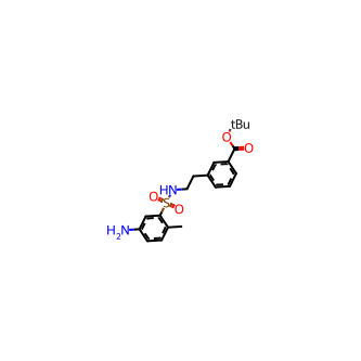 Cc1ccc(N)cc1S(=O)(=O)NCCc1cccc(C(=O)OC(C)(C)C)c1